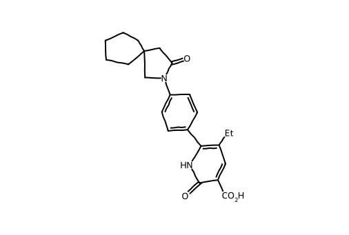 CCc1cc(C(=O)O)c(=O)[nH]c1-c1ccc(N2CC3(CCCCC3)CC2=O)cc1